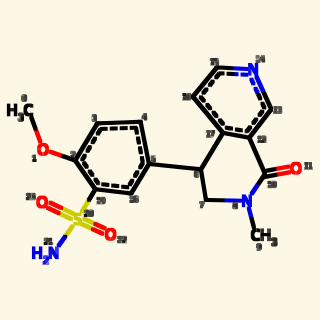 COc1ccc(C2CN(C)C(=O)c3cnccc32)cc1S(N)(=O)=O